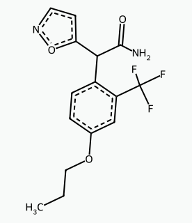 CCCOc1ccc(C(C(N)=O)c2ccno2)c(C(F)(F)F)c1